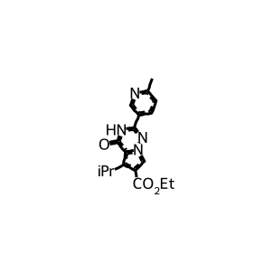 CCOC(=O)c1cn2nc(-c3ccc(C)nc3)[nH]c(=O)c2c1C(C)C